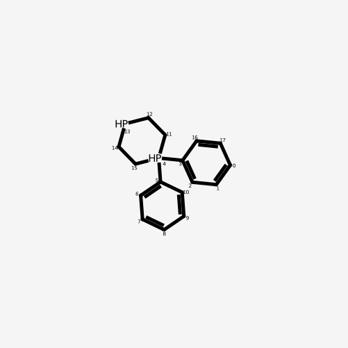 c1ccc([PH]2(c3ccccc3)CCPCC2)cc1